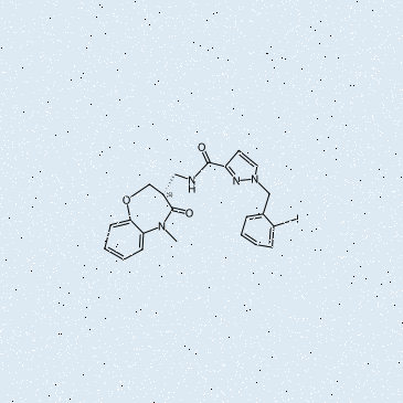 CN1C(=O)[C@@H](CNC(=O)c2ccn(Cc3ccccc3I)n2)COc2ccccc21